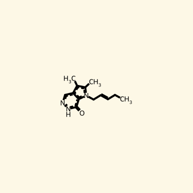 CC/C=C/Cn1c(C)c(C)c2cn[nH]c(=O)c21